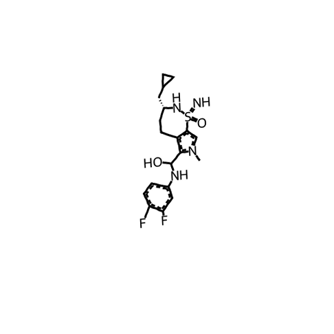 Cn1cc2c(c1C(O)Nc1ccc(F)c(F)c1)CC[C@H](CC1CC1)NS2(=N)=O